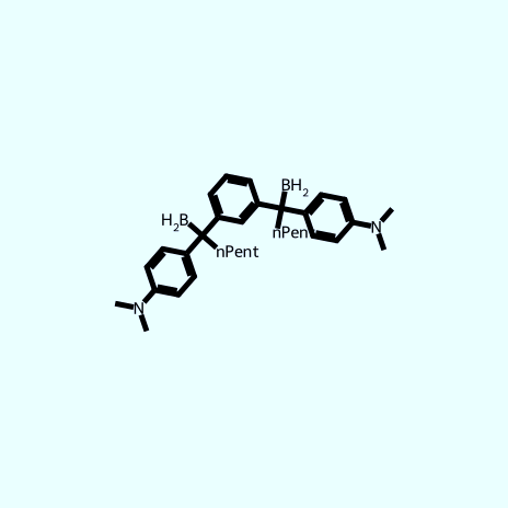 BC(CCCCC)(c1ccc(N(C)C)cc1)c1cccc(C(B)(CCCCC)c2ccc(N(C)C)cc2)c1